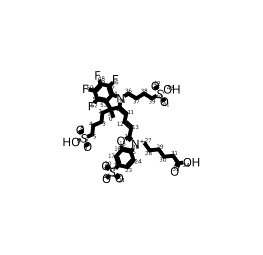 CC1(CCCCS(=O)(=O)O)/C(=C\C=C\c2oc3cc(S(=O)(=O)[O-])ccc3[n+]2CCCCCC(=O)O)N(CCCCS(=O)(=O)O)c2c(F)c(F)c(F)c(F)c21